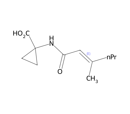 CCC/C(C)=C/C(=O)NC1(C(=O)O)CC1